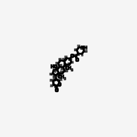 C[C@]12CC[C@H](OC(=O)C3CCNCC3)C=C1CCC1C2CC[C@]2(C)[C@@H](c3ccc(=O)oc3)CC[C@]12O